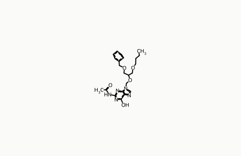 CCCCOCC(COCc1ccccc1)OCn1cnc2c(O)nc(NC(C)=O)nc21